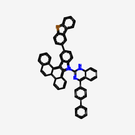 C1=CC2=C(c3ccc(-c4ccccc4)cc3)N=C(n3c4c(c5cc(-c6ccc7sc8ccccc8c7c6)ccc53)=C3c5ccccc5C=CC3C3C=CC=CC=43)NC2C=C1